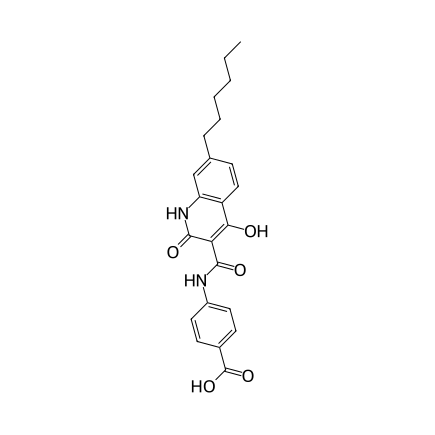 CCCCCCc1ccc2c(O)c(C(=O)Nc3ccc(C(=O)O)cc3)c(=O)[nH]c2c1